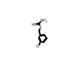 N=C(N)SCc1cccc(Cl)c1